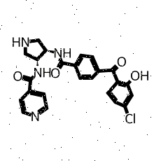 O=C(N[C@@H]1CNC[C@H]1NC(=O)c1ccc(C(=O)c2ccc(Cl)cc2O)cc1)c1ccncc1